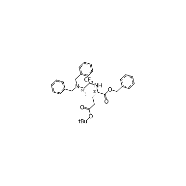 C[C@@H](C(N[C@@H](CCC(=O)OC(C)(C)C)C(=O)OCc1ccccc1)C(F)(F)F)N(Cc1ccccc1)Cc1ccccc1